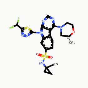 C[C@@H]1CN(c2ncnc3c2c2ccc(S(=O)(=O)NC4(C#N)CC4)cc2n3-c2nnc(C(F)F)s2)CCO1